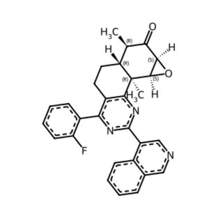 C[C@H]1C(=O)[C@H]2O[C@H]2[C@@]2(C)c3nc(-c4cncc5ccccc45)nc(-c4ccccc4F)c3CC[C@H]12